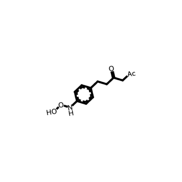 CC(=O)CC(=O)CCc1ccc(NOO)cc1